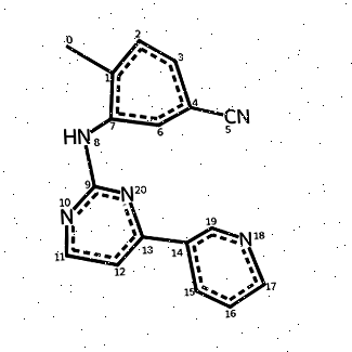 Cc1ccc(C#N)cc1Nc1nccc(-c2cccnc2)n1